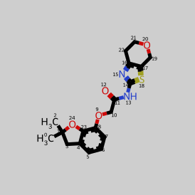 CC1(C)Cc2cccc(OCC(=O)Nc3nc4c(s3)COCC4)c2O1